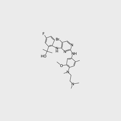 COc1cc(Nc2ncc(Br)c(Nc3ccc(F)cc3C(C)(C)O)n2)c(C)cc1N(C)CCN(C)C